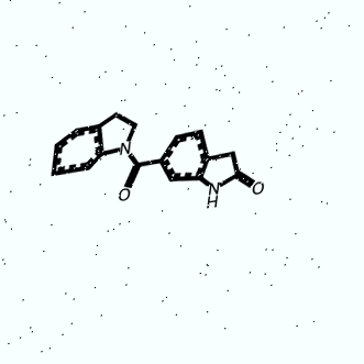 O=C1Cc2ccc(C(=O)N3CCc4ccccc43)cc2N1